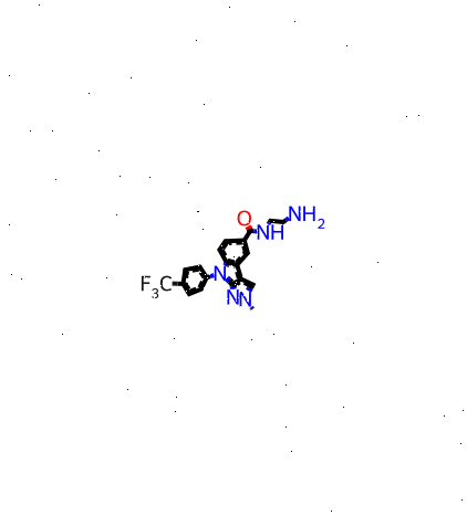 Cn1cc2c3cc(C(=O)NCCN)ccc3n(-c3ccc(C(F)(F)F)cc3)c2n1